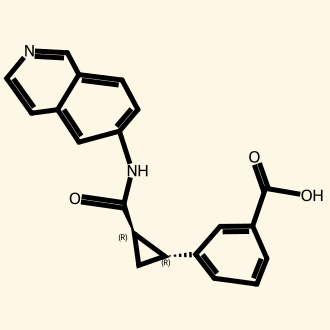 O=C(O)c1cccc([C@@H]2C[C@H]2C(=O)Nc2ccc3cnccc3c2)c1